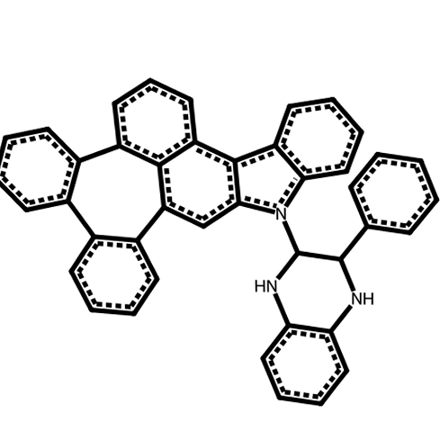 c1ccc(C2Nc3ccccc3NC2n2c3ccccc3c3c4cccc5c4c(cc32)-c2ccccc2-c2ccccc2-5)cc1